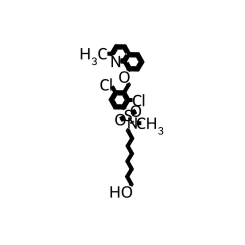 Cc1ccc2cccc(OCc3c(Cl)ccc(S(=O)(=O)N(C)CCCCCCCCO)c3Cl)c2n1